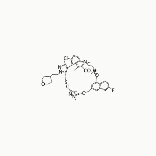 Cc1nn(CCC2CCOCC2)c2c1-c1c(Cl)ccc3c1c(C)c(C(=O)O)n3CCCOc1cc(cc3cc(F)ccc13)CCc1cc(nn1C)CSC2